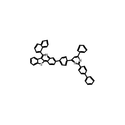 c1ccc(-c2ccc(-c3nc(-c4ccccc4)cc(-c4ccc(-c5ccc6c(c5)nc(-c5cccc7ccccc57)c5c7ccccc7sc65)cc4)n3)cc2)cc1